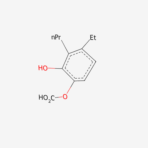 CCCc1c(CC)ccc(OC(=O)O)c1O